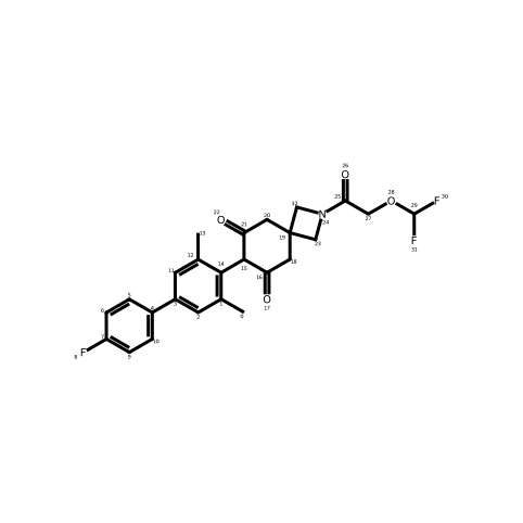 Cc1cc(-c2ccc(F)cc2)cc(C)c1C1C(=O)CC2(CC1=O)CN(C(=O)COC(F)F)C2